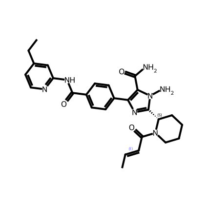 C/C=C/C(=O)N1CCCC[C@H]1c1nc(-c2ccc(C(=O)Nc3cc(CC)ccn3)cc2)c(C(N)=O)n1N